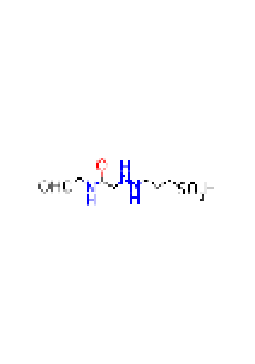 O=CCNC(=O)CNNCCCS(=O)(=O)O